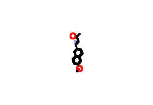 COc1ccc2cc(/C=C/C(C)=O)ccc2c1